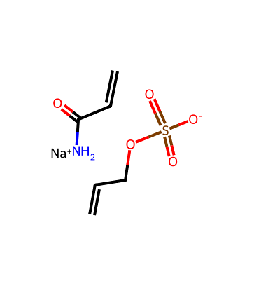 C=CC(N)=O.C=CCOS(=O)(=O)[O-].[Na+]